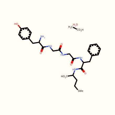 CC(=O)O.CSCCC(NC(=O)C(Cc1ccccc1)NC(=O)CNC(=O)CNC(=O)C(N)Cc1ccc(O)cc1)C(=O)O.O